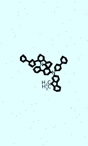 CC1(C)c2ccccc2-c2ccc(N(c3ccc(-c4ccccc4)cc3)c3ccc(-c4ccccc4-n4c5ccccc5c5cccc(-c6cccc(-c7ccccc7)c6)c54)cc3)cc21